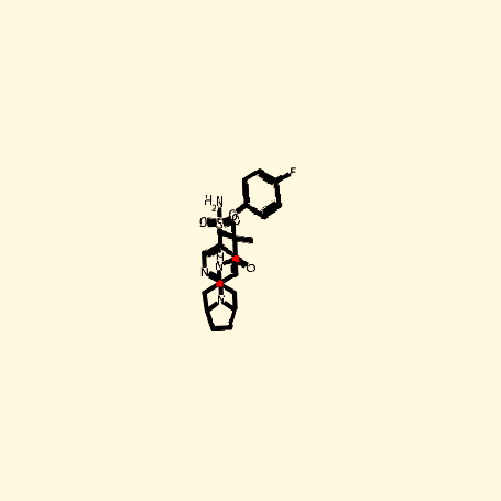 CC(C)(Oc1ccc(F)cc1)C(=O)NC1CC2CCC(C1)N2c1ccc(S(N)(=O)=O)cn1